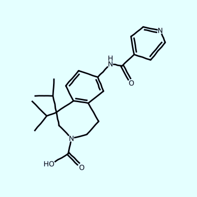 CC(C)C1(C(C)C)CN(C(=O)O)CCc2cc(NC(=O)c3ccncc3)ccc21